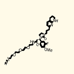 COc1ccc([C@H](CC(=O)NCCOCCOCCOCCN=[N+]=[N-])N2CCN(CCCc3ccc4c(n3)NCCC4)C2=O)cc1F